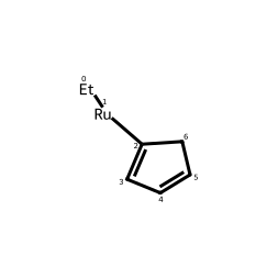 C[CH2][Ru][C]1=CC=CC1